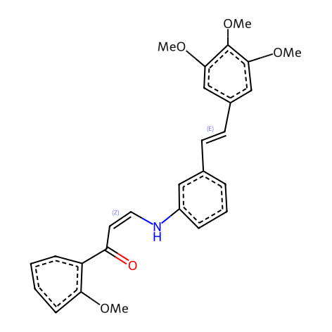 COc1ccccc1C(=O)/C=C\Nc1cccc(/C=C/c2cc(OC)c(OC)c(OC)c2)c1